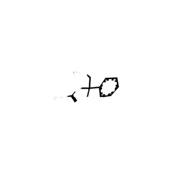 COCC(C)(OC(=O)OC)c1ccccc1